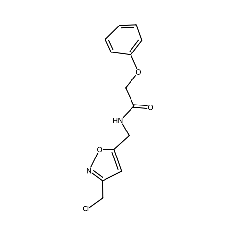 O=C(COc1ccccc1)NCc1cc(CCl)no1